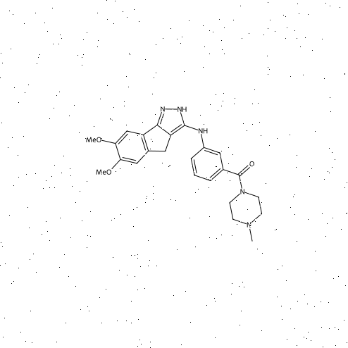 COc1cc2c(cc1OC)-c1n[nH]c(Nc3cccc(C(=O)N4CCN(C)CC4)c3)c1C2